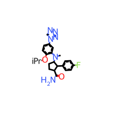 CC(C)Oc1ccc(-n2cnnn2)cc1N(C)C1CCC(C(N)=O)C1c1ccc(F)cc1